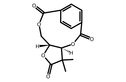 CC1(C)C(=O)O[C@@H]2COC(=O)c3ccc(cc3)C(=O)O[C@H]21